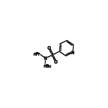 CCCCN(CCC)S(=O)(=O)c1cccnc1